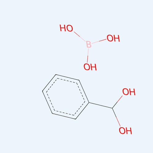 OB(O)O.OC(O)c1ccccc1